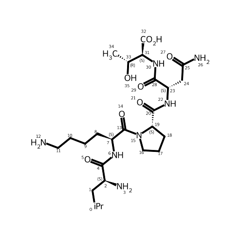 CC(C)C[C@H](N)C(=O)N[C@@H](CCCCN)C(=O)N1CCC[C@H]1C(=O)N[C@@H](CC(N)=O)C(=O)N[C@H](C(=O)O)[C@@H](C)O